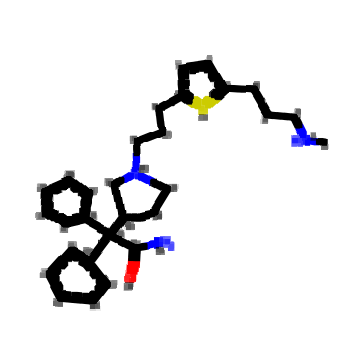 CNCCCc1ccc(CCCN2CCC(C(C(N)=O)(c3ccccc3)c3ccccc3)C2)s1